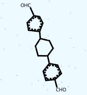 O=Cc1ccc(C2CCC(c3ccc(C=O)cc3)CC2)cc1